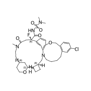 CN1CC[C@@H]2CCO[C@@H](C2)[C@@H]2CC[C@H]2CN2CCCCc3cc(Cl)ccc3COc3ccc(cc32)[C@@](F)(C(=O)NS(=O)(=O)N(C)C)CC1=O